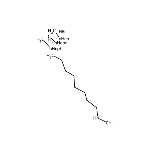 Br.CCCCCCCC.CCCCCCCC.CCCCCCCC.CCCCCCCCNC